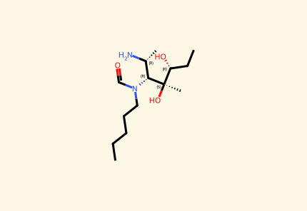 CCCCCN(C=O)[C@H]([C@@H](C)N)[C@](C)(O)[C@H](O)CC